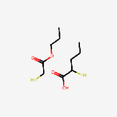 CCCC(S)C(=O)O.CCCOC(=O)CS